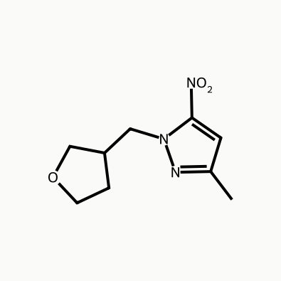 Cc1cc([N+](=O)[O-])n(CC2CCOC2)n1